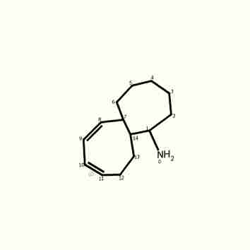 NC1CCCCCC2C=C/C=C\CCC12